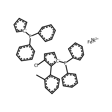 Cc1ccccc1-c1c(Cl)cc[c-]1P(c1ccccc1)c1ccccc1.[Fe+2].[Ni+2].c1ccc(P(c2ccccc2)[c-]2cccc2)cc1